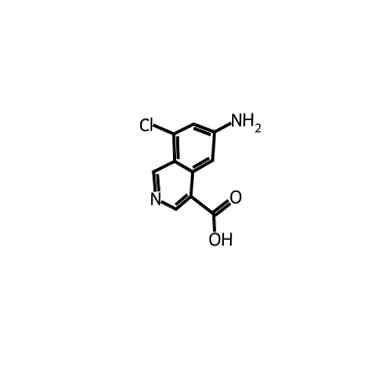 Nc1cc(Cl)c2cncc(C(=O)O)c2c1